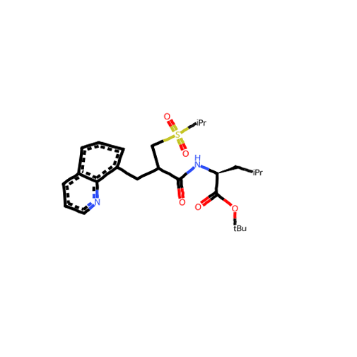 CC(C)C[C@H](NC(=O)C(Cc1cccc2cccnc12)CS(=O)(=O)C(C)C)C(=O)OC(C)(C)C